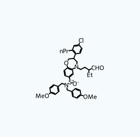 CCCc1cc(Cl)ccc1C1COc2ccc([S+]([O-])N(Cc3ccc(OC)cc3)Cc3ccc(OC)cc3)cc2N(CCC(C=O)CC)C1